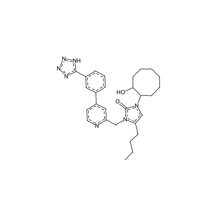 CCCCc1cn(C2CCCCCCC2O)c(=O)n1Cc1cc(-c2cccc(-c3nnn[nH]3)c2)ccn1